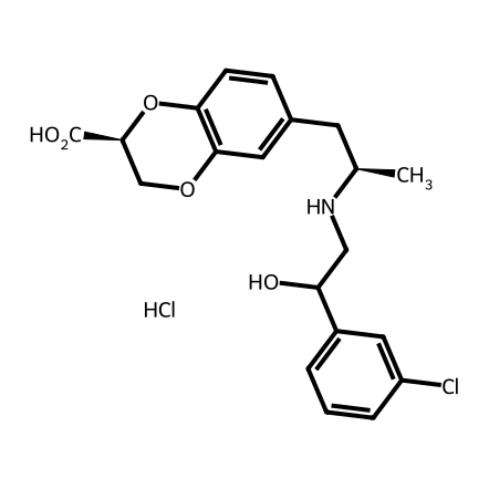 C[C@H](Cc1ccc2c(c1)OC[C@@H](C(=O)O)O2)NCC(O)c1cccc(Cl)c1.Cl